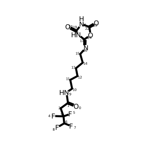 O=C(CC(F)(F)C(F)F)NCCCCCCN=c1[nH]c(=O)[nH]c(=O)o1